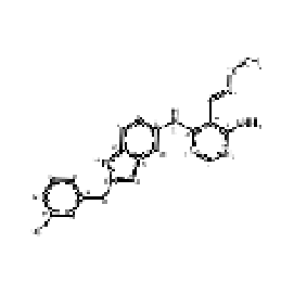 CO/N=C/c1c(N)ncnc1Nc1ccc2nn(Cc3cccc(F)c3)cc2c1